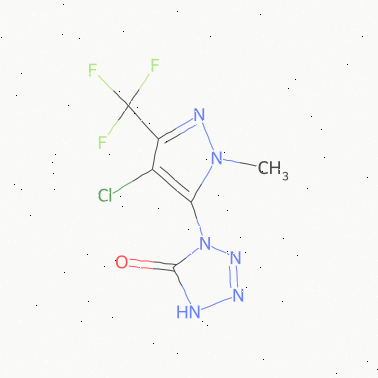 Cn1nc(C(F)(F)F)c(Cl)c1-n1nn[nH]c1=O